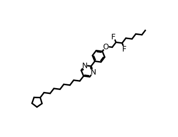 CCCCCC(F)C(F)COc1ccc(-c2ncc(CCCCCCCCC3CCCC3)cn2)cc1